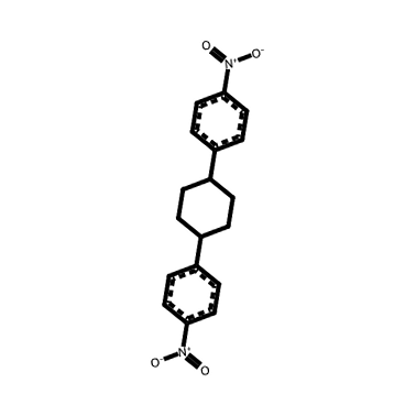 O=[N+]([O-])c1ccc(C2CCC(c3ccc([N+](=O)[O-])cc3)CC2)cc1